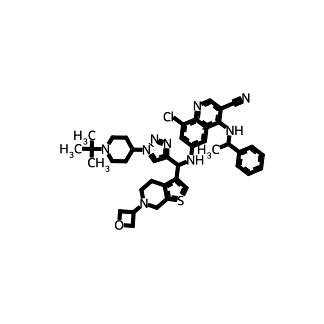 CC(Nc1c(C#N)cnc2c(Cl)cc(NC(c3cn(C4CCN(C(C)(C)C)CC4)nn3)c3csc4c3CCN(C3COC3)C4)cc12)c1ccccc1